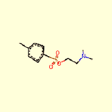 Cc1ccc(S(=O)(=O)OCCN(C)C)cc1